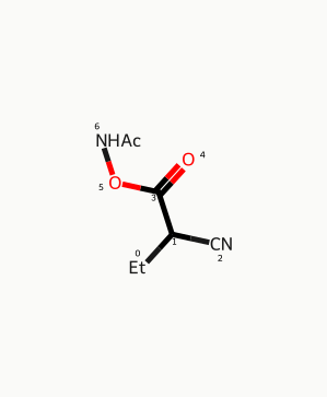 CCC(C#N)C(=O)ONC(C)=O